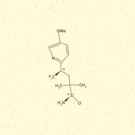 COc1ccc([C@@H](CC(C)(C)[S@+](N)[O-])C(F)(F)F)nc1